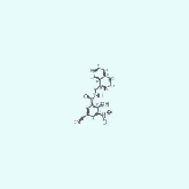 N#Cc1cc(C(=O)NCc2nccc3ccccc23)c(O)c([N+](=O)[O-])c1